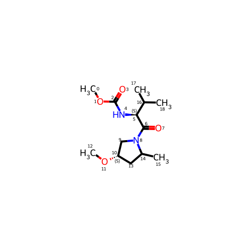 COC(=O)N[C@H](C(=O)N1C[C@@H](OC)CC1C)C(C)C